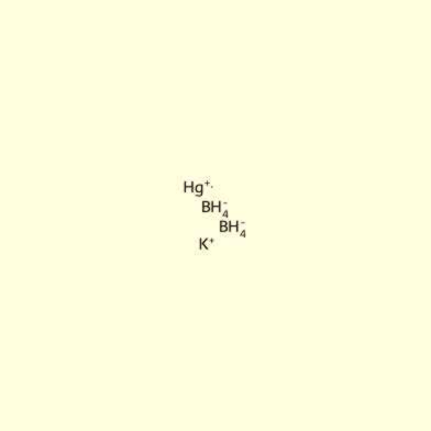 [BH4-].[BH4-].[Hg+].[K+]